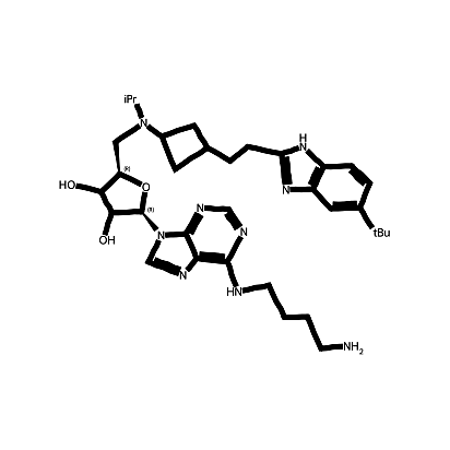 CC(C)N(C[C@H]1O[C@@H](n2cnc3c(NCCCCN)ncnc32)C(O)C1O)C1CC(CCc2nc3cc(C(C)(C)C)ccc3[nH]2)C1